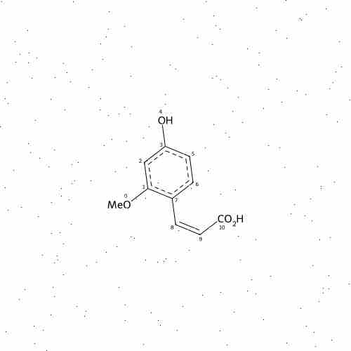 COc1cc(O)ccc1/C=C\C(=O)O